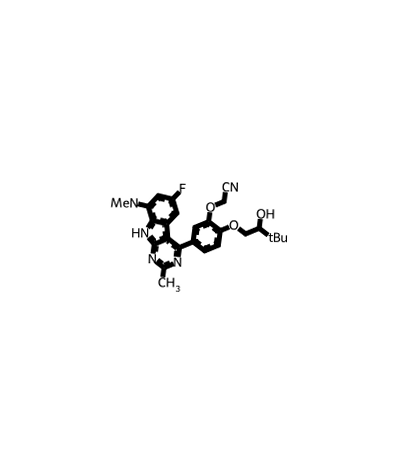 CNc1cc(F)cc2c1[nH]c1nc(C)nc(-c3ccc(OCC(O)C(C)(C)C)c(OCC#N)c3)c12